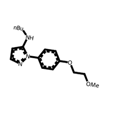 CCCCNc1ccnn1-c1ccc(OCCOC)cc1